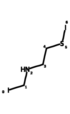 ICNCCSI